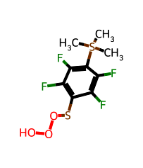 CS(C)(C)c1c(F)c(F)c(SOOO)c(F)c1F